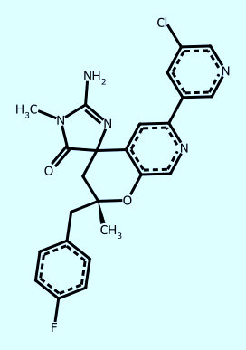 CN1C(=O)C2(C[C@@](C)(Cc3ccc(F)cc3)Oc3cnc(-c4cncc(Cl)c4)cc32)N=C1N